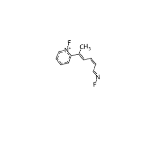 C\C(=C/C=C\C=N\F)c1cccc[n+]1F